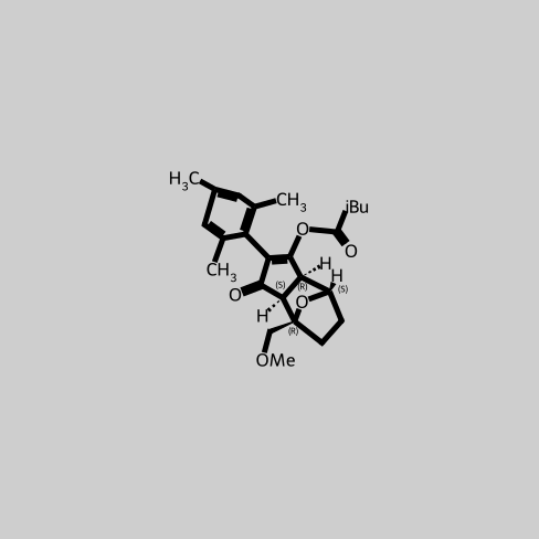 CCC(C)C(=O)OC1=C(c2c(C)cc(C)cc2C)C(=O)[C@H]2[C@@H]1[C@@H]1CC[C@@]2(COC)O1